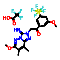 COc1cc(C(=O)Cn2nc3c(C)c(C)c(OC)nn3c2=N)cc(S(F)(F)(F)(F)F)c1.O=C(O)C(F)(F)F